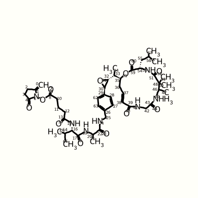 C=C1CCC(=O)N1OC(=O)CCCC(=O)N[C@H](C(=O)NC(C)C(=O)NCc1ccc([C@H]2O[C@@H]2C(C)[C@@H]2C/C=C/C(=O)NCC(=O)NC(C)C(C)(C)C(=O)N[C@@H](CC(C)C)C(=O)O2)cc1)C(C)C